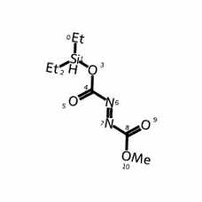 CC[SiH](CC)OC(=O)N=NC(=O)OC